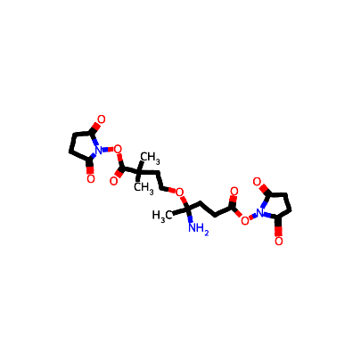 CC(N)(CCC(=O)ON1C(=O)CCC1=O)OCCC(C)(C)C(=O)ON1C(=O)CCC1=O